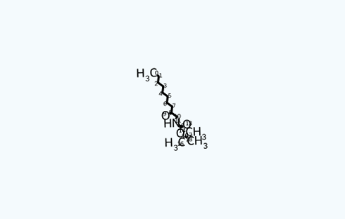 CCCCCCCCC(=O)CNC(=O)OC(C)(C)C